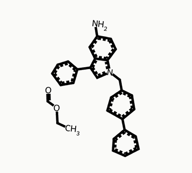 CCOC=O.Nc1ccc2c(c1)c(-c1ccccc1)cn2Cc1ccc(-c2ccccc2)cc1